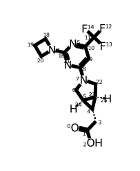 O=C(O)C[C@@H]1[C@H]2CN(c3cc(C(F)(F)F)nc(N4CCC4)n3)C[C@@H]12